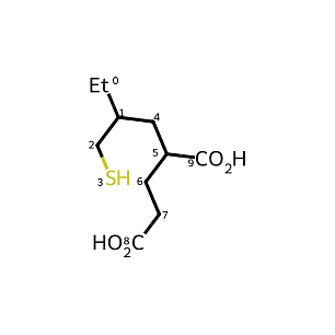 CCC(CS)CC(CCC(=O)O)C(=O)O